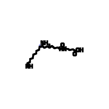 N=CCCCCCCC/C=C(/N)CCCCCCCC(=O)NCCCC(=O)O